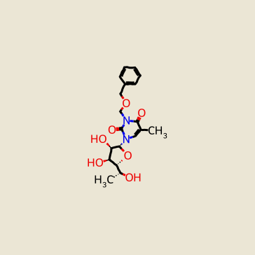 Cc1cn([C@@H]2O[C@H]([C@@H](C)O)[C@@H](O)[C@H]2O)c(=O)n(COCc2ccccc2)c1=O